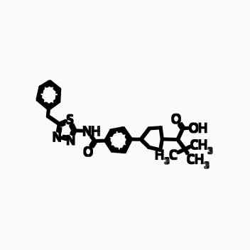 CC(C)(C)C(C(=O)O)C1CCC(c2ccc(C(=O)Nc3nnc(Cc4ccccc4)s3)cc2)CC1